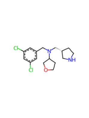 Clc1cc(Cl)cc(CN(C[C@@H]2CCNC2)C2CCOC2)c1